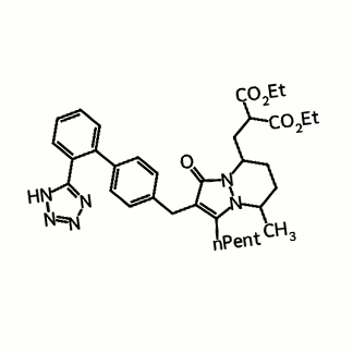 CCCCCc1c(Cc2ccc(-c3ccccc3-c3nnn[nH]3)cc2)c(=O)n2n1C(C)CCC2CC(C(=O)OCC)C(=O)OCC